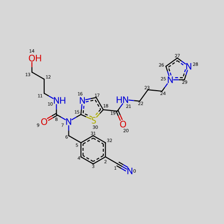 N#Cc1ccc(CN(C(=O)NCCCO)c2ncc(C(=O)NCCCn3ccnc3)s2)cc1